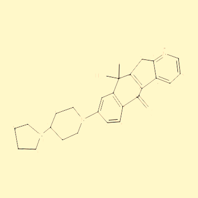 CC1(C)C2=C(C(=O)c3ccc(N4CCC(N5CCCC5)CC4)cc31)c1cccnc1C2